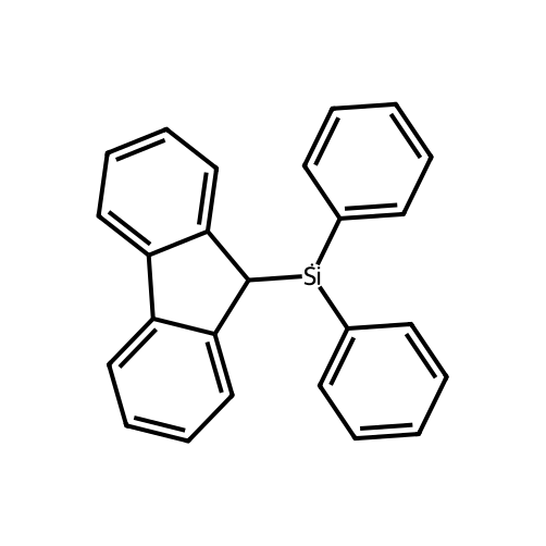 c1ccc([Si](c2ccccc2)C2c3ccccc3-c3ccccc32)cc1